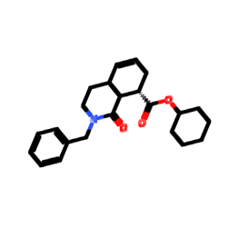 O=C(OC1CCCCC1)[C@H]1CC=CC2CCN(Cc3ccccc3)C(=O)C21